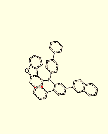 c1ccc(-c2ccc(N(c3cc(-c4ccc5ccccc5c4)ccc3-c3ccccc3)c3cccc4oc5ccccc5c34)cc2)cc1